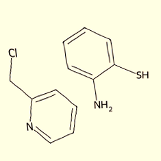 ClCc1ccccn1.Nc1ccccc1S